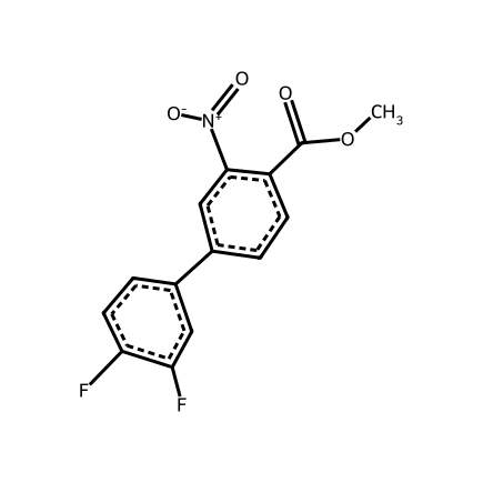 COC(=O)c1ccc(-c2ccc(F)c(F)c2)cc1[N+](=O)[O-]